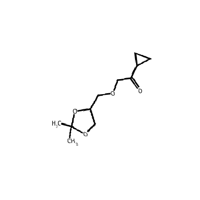 CC1(C)OCC(COCC(=O)C2CC2)O1